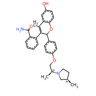 CC1=C(c2ccccc2C(N)=O)C(c2ccc(OC[C@H](C)N3CC[C@@H](C)C3)cc2)Oc2ccc(O)cc21